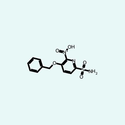 NS(=O)(=O)c1ccc(OCc2ccccc2)c([N+](=O)O)n1